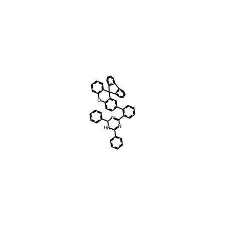 c1ccc(C2=NC(c3ccccc3-c3ccc4c(c3)C3(c5ccccc5O4)c4ccccc4-c4ccccc43)=NC(c3ccccc3)N2)cc1